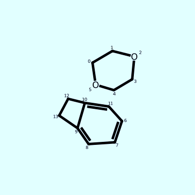 C1COCCO1.c1ccc2c(c1)CC2